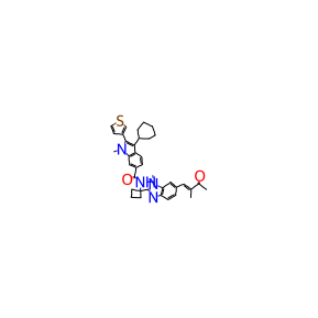 CC(=O)/C(C)=C/c1ccc2nc(C3(NC(=O)c4ccc5c(C6CCCCC6)c(-c6ccsc6)n(C)c5c4)CCC3)n(C)c2c1